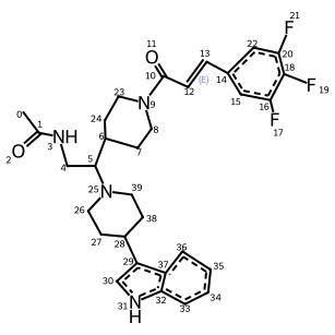 CC(=O)NCC(C1CCN(C(=O)/C=C/c2cc(F)c(F)c(F)c2)CC1)N1CCC(c2c[nH]c3ccccc23)CC1